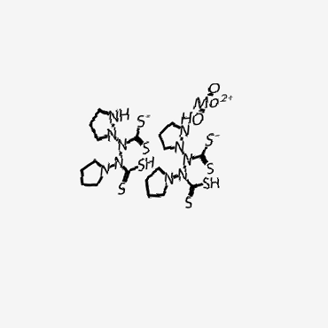 S=C(S)N(N1CCCC1)N(C(=S)[S-])N1CCCN1.S=C(S)N(N1CCCC1)N(C(=S)[S-])N1CCCN1.[O]=[Mo+2]=[O]